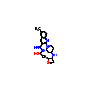 Cc1ccc2nc(N3CCC(NC4CCOC4)CC3)c(C(=N)NC(C)O)cc2c1